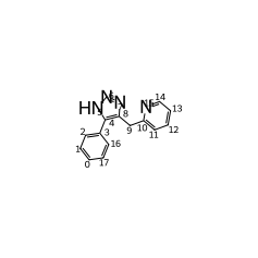 c1ccc(-c2[nH]nnc2Cc2ccccn2)cc1